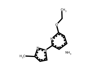 CCOc1cccc(-n2ccc(C)n2)n1.N